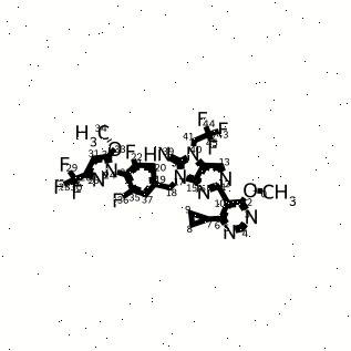 COc1ncnc(C2CC2)c1-c1ncc2c(n1)n(Cc1cc(F)c(-n3nc(C(F)(F)F)cc3OC)c(F)c1)c(=N)n2CC(F)(F)F